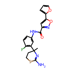 CC1(c2cc(NC(=O)c3cc(-c4ccco4)on3)ccc2F)CCSC(N)=N1